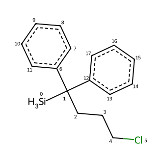 [SiH3]C(CCCCl)(c1ccccc1)c1ccccc1